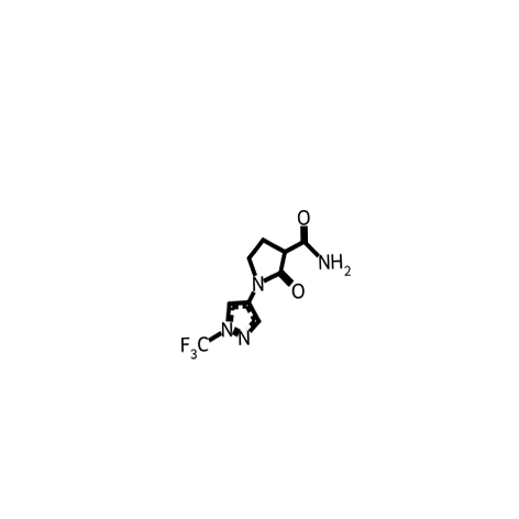 NC(=O)C1CCN(c2cnn(C(F)(F)F)c2)C1=O